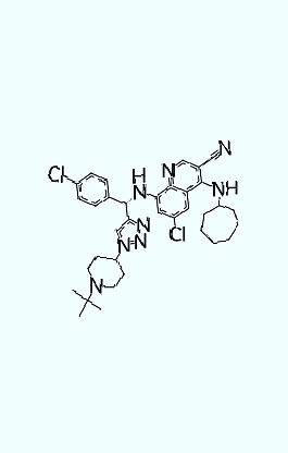 CC(C)(C)N1CCC(n2cc([C@@H](Nc3cc(Cl)cc4c(NC5CCCCCC5)c(C#N)cnc34)c3ccc(Cl)cc3)nn2)CC1